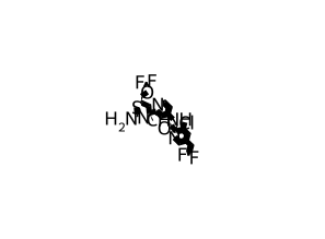 C[C@@]1(c2cc(NC(=O)c3ncc(C=C(F)F)cc3Cl)ccn2)C[C@@H](COC(F)F)SC(N)=N1